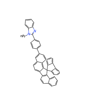 CCCn1c(-c2ccc(-c3ccc4c5c(ccc4c3)-c3ccc4ccccc4c3C53c4ccccc4-c4ccccc43)cc2)nc2ccccc21